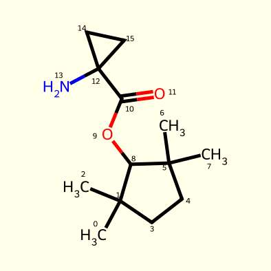 CC1(C)CCC(C)(C)C1OC(=O)C1(N)CC1